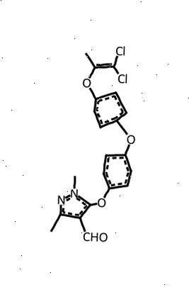 CC(Oc1ccc(Oc2ccc(Oc3c(C=O)c(C)nn3C)cc2)cc1)=C(Cl)Cl